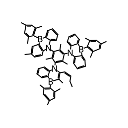 CC/C=C\C1=C(C)B(c2c(C)cc(C)cc2C)c2ccccc2N1c1c(C)c(N2c3ccccc3B(c3c(C)cc(C)cc3C)c3ccccc32)c(C)c(N2c3ccccc3B(c3c(C)cc(C)cc3C)c3cc(C)ccc32)c1C